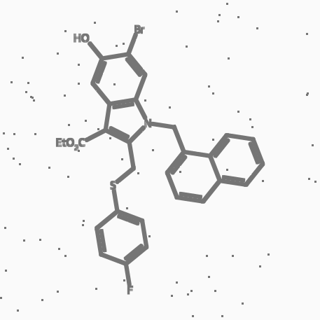 CCOC(=O)c1c(CSc2ccc(F)cc2)n(Cc2cccc3ccccc23)c2cc(Br)c(O)cc12